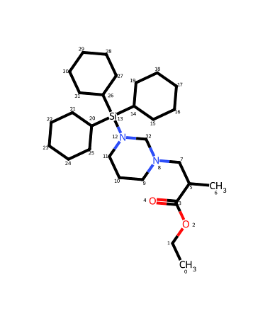 CCOC(=O)C(C)CN1CCCN([Si](C2CCCCC2)(C2CCCCC2)C2CCCCC2)C1